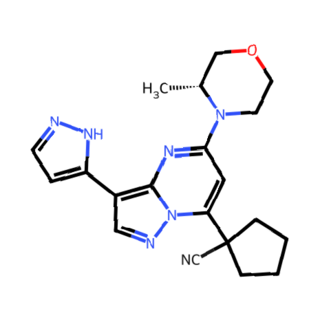 C[C@@H]1COCCN1c1cc(C2(C#N)CCCC2)n2ncc(-c3ccn[nH]3)c2n1